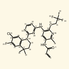 C=CC(=O)Nc1cc(Nc2ncnc(N3CCC(C)(C)c4cc(F)c(Cl)cc43)n2)c(OCC(F)(F)F)nc1C